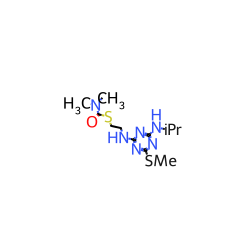 CSc1nc(NCCSC(=O)N(C)C)nc(NC(C)C)n1